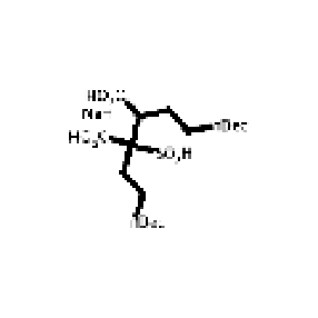 CCCCCCCCCCCCC(C(=O)O)C(CCCCCCCCCCCC)(C(=O)O)S(=O)(=O)O.[NaH]